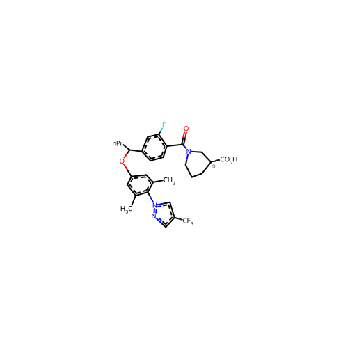 CCCC(Oc1cc(C)c(-n2cc(C(F)(F)F)cn2)c(C)c1)c1ccc(C(=O)N2CCC[C@H](C(=O)O)C2)c(F)c1